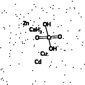 [CaH2].[Cd].[Cu].[O]=[Cr](=[O])([OH])[OH].[Zn]